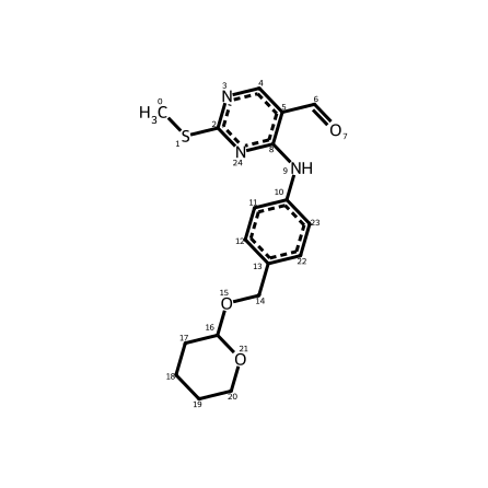 CSc1ncc(C=O)c(Nc2ccc(COC3CCCCO3)cc2)n1